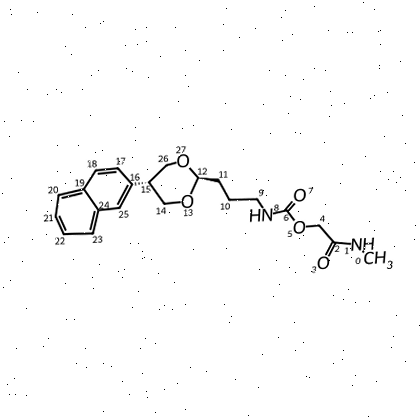 CNC(=O)COC(=O)NCCC[C@H]1OC[C@H](c2ccc3ccccc3c2)CO1